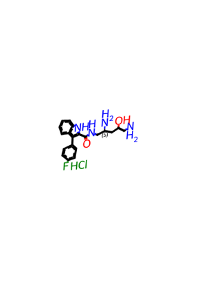 Cl.NCC(O)C[C@H](N)CNC(=O)c1[nH]c2ccccc2c1-c1ccc(F)cc1